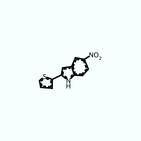 O=[N+]([O-])c1ccc2[nH]c(-c3cccs3)cc2c1